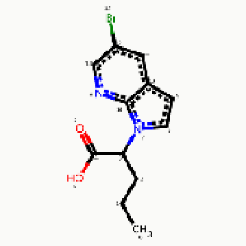 CCCC(C(=O)O)n1ccc2cc(Br)cnc21